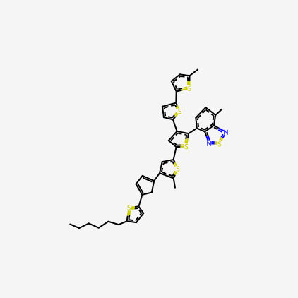 CCCCCCc1ccc(C2=CC=C(c3cc(-c4cc(-c5ccc(-c6ccc(C)s6)s5)c(-c5ccc(C)c6nsnc56)s4)sc3C)C2)s1